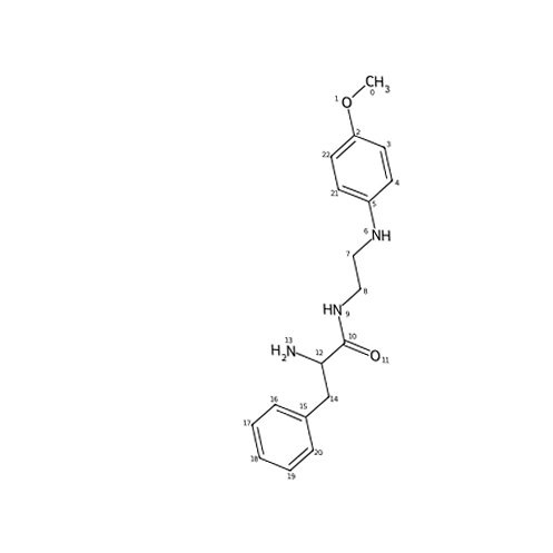 COc1ccc(NCCNC(=O)C(N)Cc2ccccc2)cc1